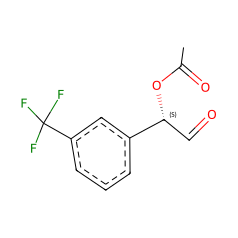 CC(=O)O[C@H](C=O)c1cccc(C(F)(F)F)c1